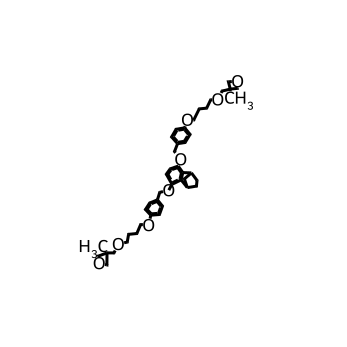 CC1(COCCCCOc2ccc(COc3ccc(OCc4ccc(OCCCCOCC5(C)COC5)cc4)c4c3C3CCC4C3)cc2)COC1